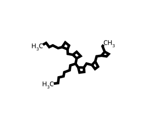 CCCCCCCC(C1CCC1CC1CCC1CCCCC)C1CCC1CC1CCC1CC1CCC1CC